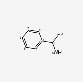 [NH]C(F)c1ccccc1